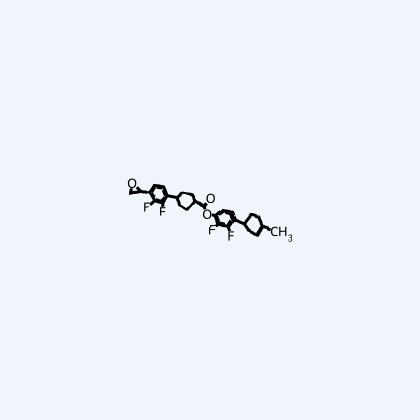 CC1CCC(c2ccc(OC(=O)C3CCC(c4ccc(C5CO5)c(F)c4F)CC3)c(F)c2F)CC1